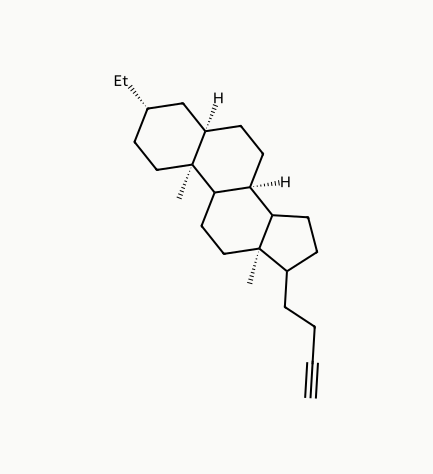 C#CCCC1CCC2[C@@H]3CC[C@@H]4C[C@@H](CC)CC[C@]4(C)C3CC[C@]12C